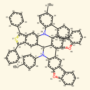 CC(C)(C)c1ccc(N2B3c4cc5c(-c6ccccc6)sc(-c6ccccc6)c5cc4N(c4ccc(C(C)(C)C)cc4-c4ccccc4)c4cc5c(oc6ccccc65)c(c43)-c3cc4c(cc32)oc2ccccc24)cc1